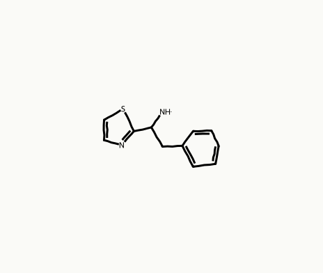 [NH]C(Cc1ccccc1)c1nccs1